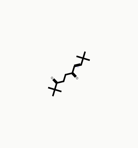 CC(C)(C)/C=C/C(=O)CCC(=O)C(C)(C)C